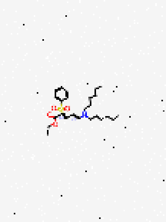 CCCCCCN(/C=C/C=C(/C(=O)OCC)S(=O)(=O)c1ccccc1)CCCCCC